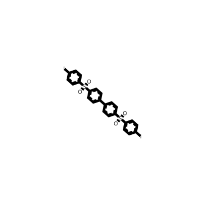 O=S(=O)(c1ccc(I)cc1)c1ccc(-c2ccc(S(=O)(=O)c3ccc(I)cc3)cc2)cc1